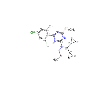 CCCN(c1nc(SC)nc(-c2c(Cl)cc(Cl)cc2Cl)n1)C(C1CC1)C1CC1